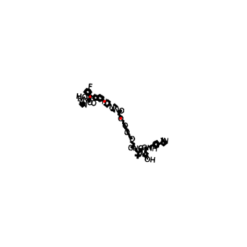 CC1=C(c2ccc(CNC(=O)C3C[C@@H](O)CN3C(=O)C(CNC(=O)CCOCCOCCOCCOCCC(=O)N3CCN(C4CCN(c5ccc6c(c5)C(=O)N(C(C(=O)Nc5nccs5)c5cc(F)ccc5O)C6)CC4)CC3)C(C)(C)C)cc2)CC=N1